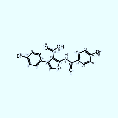 O=C(Nc1scc(-c2ccc(Br)cc2)c1C(=O)O)c1ccc(Br)cc1